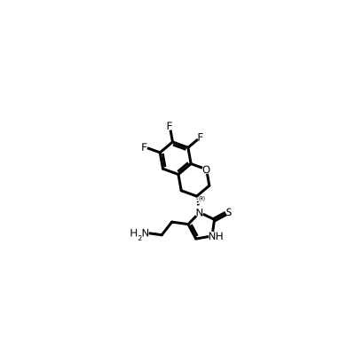 NCCc1c[nH]c(=S)n1[C@H]1COc2c(cc(F)c(F)c2F)C1